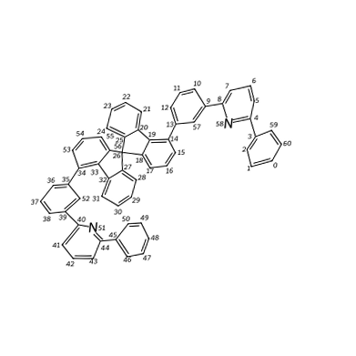 c1ccc(-c2cccc(-c3cccc(-c4cccc5c4-c4ccccc4C54c5ccccc5-c5c(-c6cccc(-c7cccc(-c8ccccc8)n7)c6)cccc54)c3)n2)cc1